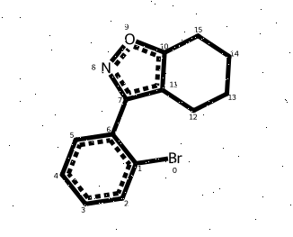 Brc1ccccc1-c1noc2c1CCCC2